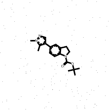 Cc1c(-c2ccc3c(c2)CCN3C(=O)OC(C)(C)C)cnn1C